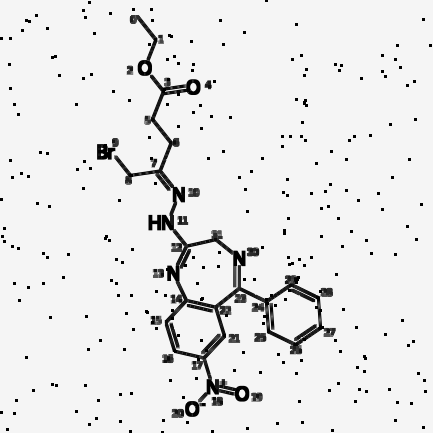 CCOC(=O)CCC(CBr)=NNC1=Nc2ccc([N+](=O)[O-])cc2C(c2ccccc2)=NC1